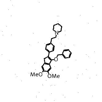 COc1cc2c(cc1OC)C(OCc1ccccc1)=C(c1ccc(CCN3CCCCC3)cc1)C2